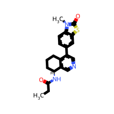 CCC(=O)N[C@@H]1CCCc2c(-c3ccc4c(c3)sc(=O)n4C)cncc21